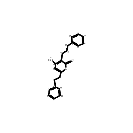 O=c1oc(CCc2ccccc2)cc(O)c1CCCc1ccccc1